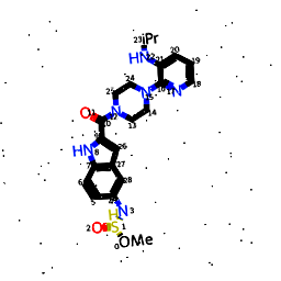 CO[SH](=O)=Nc1c#cc2[nH]c(C(=O)N3CCN(c4ncccc4NC(C)C)CC3)cc2c1